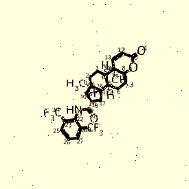 C[C@]12CC[C@H]3[C@@H](CCC4OC(=O)C=C[C@@]43C)[C@@H]1C[C@H](C(=O)Nc1c(C(F)(F)F)cccc1C(F)(F)F)C2